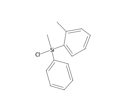 Cc1ccccc1[Si](C)(Cl)c1ccccc1